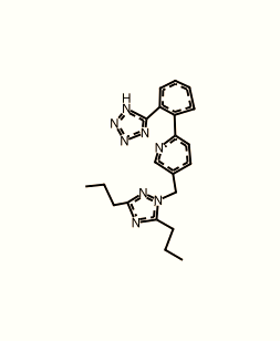 CCCc1nc(CCC)n(Cc2ccc(-c3ccccc3-c3nnn[nH]3)nc2)n1